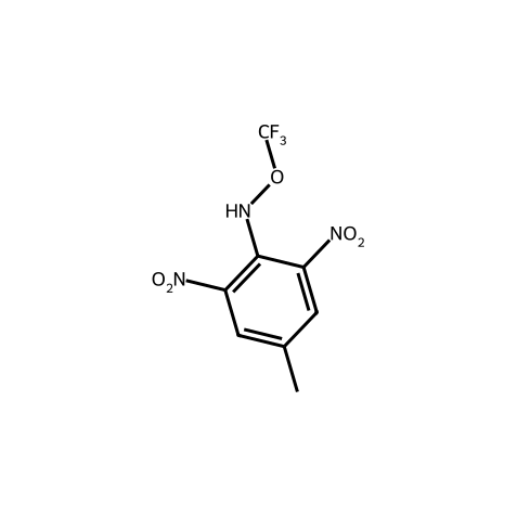 Cc1cc([N+](=O)[O-])c(NOC(F)(F)F)c([N+](=O)[O-])c1